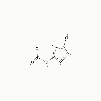 O=C(Cl)Oc1ccc(Cl)s1